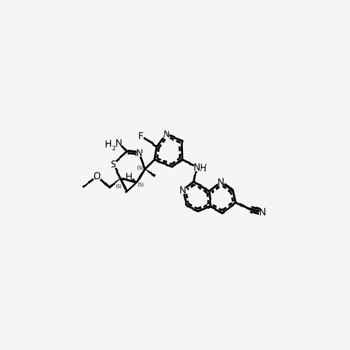 COC[C@]12C[C@H]1[C@@](C)(c1cc(Nc3nccc4cc(C#N)cnc34)cnc1F)N=C(N)S2